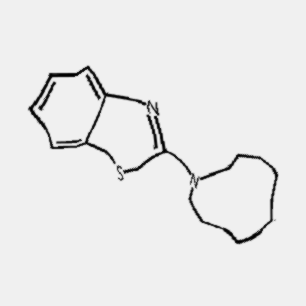 [CH]1CCN(c2nc3ccccc3s2)CC1